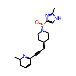 Cc1nc([S+]([O-])N2CCC(=CC#CC3=NC(C)CC=C3)CC2)c[nH]1